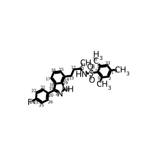 Cc1cc(C)c(S(=O)(=O)N[C@@H](C)CCc2cccc3c(-c4ccc(F)cc4)n[nH]c23)c(C)c1